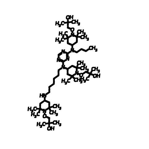 CCCCN(c1ncnc(N(CCCCCCNC2CC(C)(C)N(OCC(C)(C)O)C(C)(C)C2)C2CC(C)(C)N(OCC(C)(C)O)C(C)(C)C2)n1)C1CC(C)(C)N(OCC(C)(C)O)C(C)(C)C1